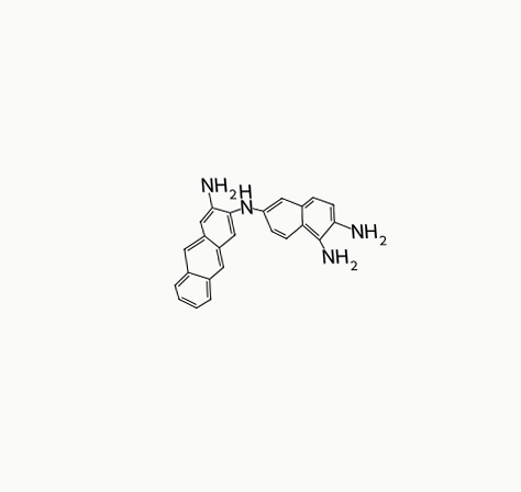 Nc1cc2cc3ccccc3cc2cc1Nc1ccc2c(N)c(N)ccc2c1